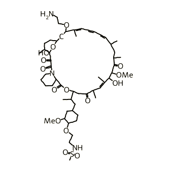 COC1CC(CC(C)C2CC(=O)C(C)/C=C(\C)C(O)C(OC)C(=O)C(C)CC(C)/C=C/C=C/C=C(\C)C(OCCN)CC3CCC(C)C(O)(O3)C(=O)C(=O)N3CCCCC3C(=O)O2)CCC1OCCNS(C)(=O)=O